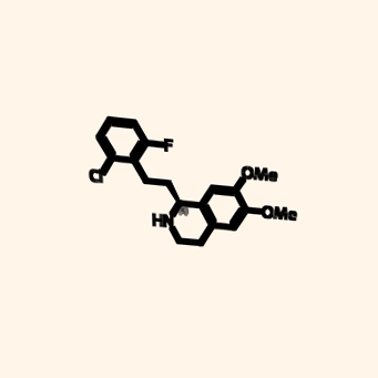 COc1cc2c(cc1OC)[C@H](CCc1c(F)cccc1Cl)NCC2